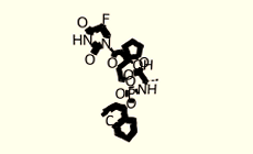 C[C@H](NP(=O)(OCC1O[C@@H](n2cc(F)c(=O)[nH]c2=O)C[C@H]1O)Oc1cccc2ccccc12)C(=O)OC1CCCC1